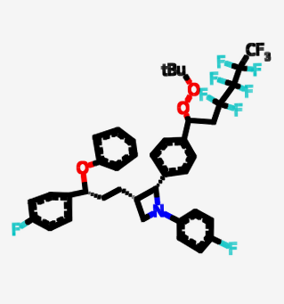 CC(C)(C)OOC(CC(F)(F)C(F)(F)C(F)(F)C(F)(F)F)c1ccc([C@H]2[C@@H](CC[C@@H](Oc3ccccc3)c3ccc(F)cc3)CN2c2ccc(F)cc2)cc1